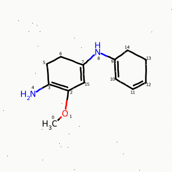 COC1=C(N)CCC(NC2=CC=CCC2)=C1